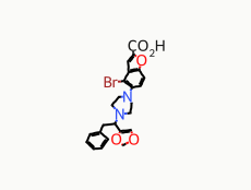 O=C(O)c1cc2c(Br)c(N3CCN(C(Cc4ccccc4)C4=COCO4)CC3)ccc2o1